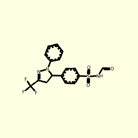 O=CNS(=O)(=O)c1ccc(C2CC(C(F)(F)F)=NN2c2ccccc2)cc1